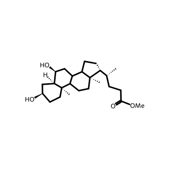 COC(=O)CC[C@@H](C)[C@H]1CCC2C3C[C@H](O)[C@@H]4C[C@H](O)CC[C@]4(C)C3CC[C@@]21C